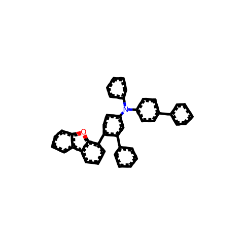 c1ccc(-c2ccc(N(c3ccccc3)c3ccc(-c4cccc5c4oc4ccccc45)c(-c4ccccc4)c3)cc2)cc1